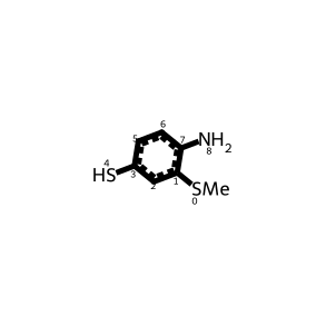 CSc1cc(S)ccc1N